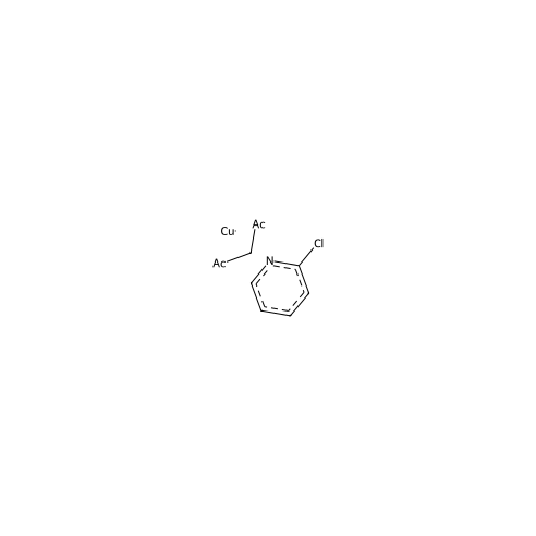 CC(=O)CC(C)=O.Clc1ccccn1.[Cu]